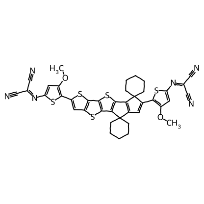 COc1cc(N=C(C#N)C#N)sc1C1=CC2=C(c3sc4c(sc5cc(-c6sc(N=C(C#N)C#N)cc6OC)sc54)c3C23CCCCC3)C12CCCCC2